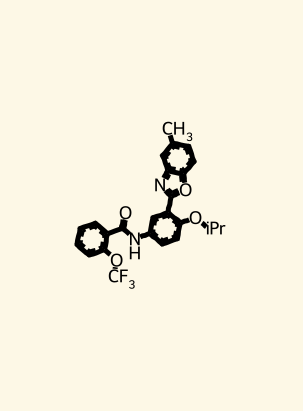 Cc1ccc2oc(-c3cc(NC(=O)c4ccccc4OC(F)(F)F)ccc3OC(C)C)nc2c1